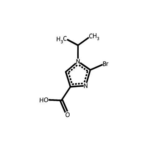 CC(C)n1cc(C(=O)O)nc1Br